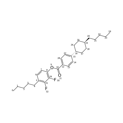 CCCCCc1ccc(OC(=O)c2ccc([C@H]3CC[C@H](CCCCC)CC3)cc2)c(F)c1F